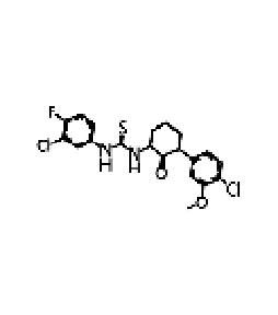 COc1cc(C2CCCC(NC(=S)Nc3ccc(F)c(Cl)c3)C2=O)ccc1Cl